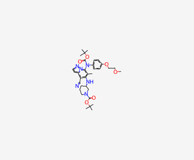 COCCOc1ccc(N(C(=O)OC(C)(C)C)c2c(C)c(N[C@@H]3CCCN(C(=O)OC(C)(C)C)C3)c(C#N)c3ccnn23)cc1